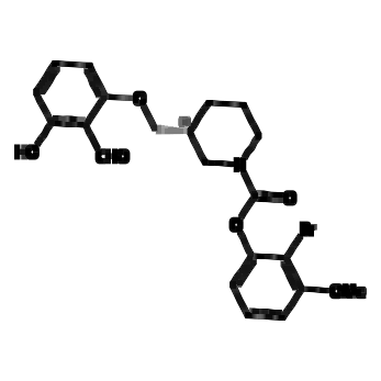 COc1cccc(OC(=O)N2CCC[C@@H](COc3cccc(O)c3C=O)C2)c1Br